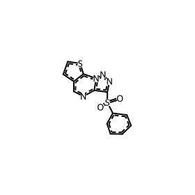 O=S(=O)(c1ccccc1)c1nnn2c1ncc1ccsc12